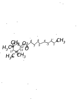 CCCCCCCCCC(=O)OC1CC(C)(C)CC(C)(C)C1